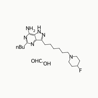 CCCCc1nc(N)c2[nH]nc(CCCCCCN3CCC(F)CC3)c2n1.O=CO